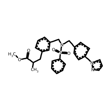 COC(=O)C(C)Cc1cccc(CN(Cc2ccc(-n3cccn3)cc2)S(=O)(=O)c2ccccc2)c1